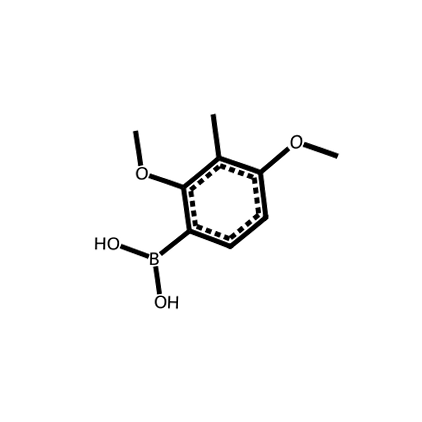 COc1ccc(B(O)O)c(OC)c1C